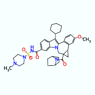 COc1ccc2c(c1)C1CC1(C(=O)N1C3CCC1CC3)Cn1c-2c(C2CCCCC2)c2ccc(C(=O)NS(=O)(=O)N3CCN(C)CC3)cc21